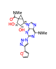 CNC(=O)C12CC1[C@@H](n1cnc3c(NC)nc(-n4cc(-c5ccco5)nn4)nc31)[C@H](O)[C@@H]2O